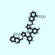 CCOC(=O)c1cccc2ncc(Cn3cccc3-c3cc(C)ccc3C(=O)c3ccc(C)cc3-c3cccn3Cc3cnc4cccc(C(=O)OCC)c4c3)cc12